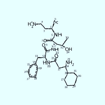 CC(=O)[C@H](CCN)NC(=O)[C@@H](NC(=O)[C@H](Cc1ccccc1)NC(=O)CC(N)C1CCCCC1)C(C)O